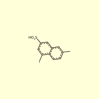 Cc1ccc2c(I)cc(S(=O)(=O)O)cc2c1